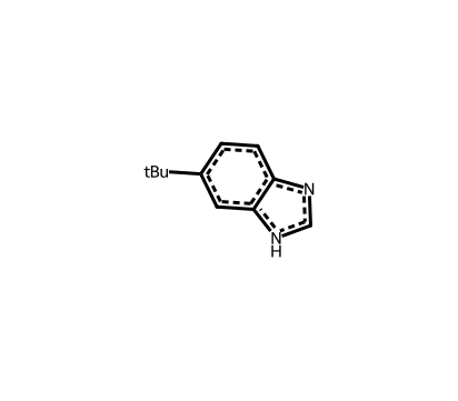 CC(C)(C)c1ccc2nc[nH]c2c1